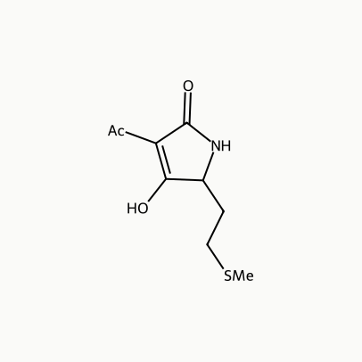 CSCCC1NC(=O)C(C(C)=O)=C1O